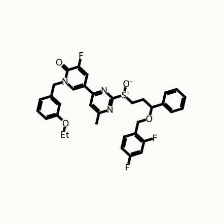 CCOc1cccc(Cn2cc(-c3cc(C)nc([S+]([O-])CCC(OCc4ccc(F)cc4F)c4ccccc4)n3)cc(F)c2=O)c1